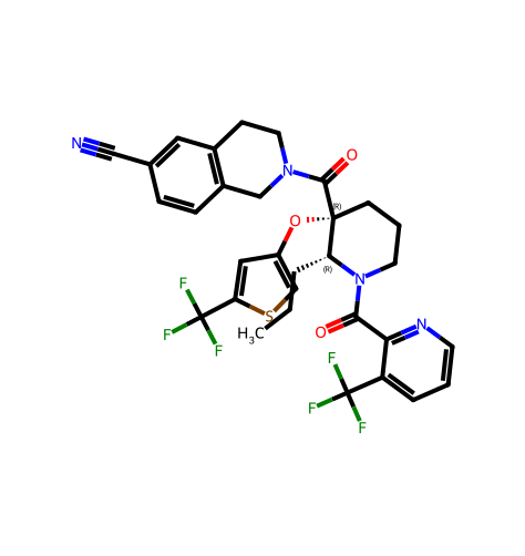 CCC[C@H]1N(C(=O)c2ncccc2C(F)(F)F)CCC[C@]1(Oc1csc(C(F)(F)F)c1)C(=O)N1CCc2cc(C#N)ccc2C1